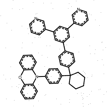 c1cncc(-c2cc(-c3ccc(C4(c5ccc(N6c7ccccc7Oc7ccccc76)cc5)CCCCC4)cc3)cc(-c3cccnc3)c2)c1